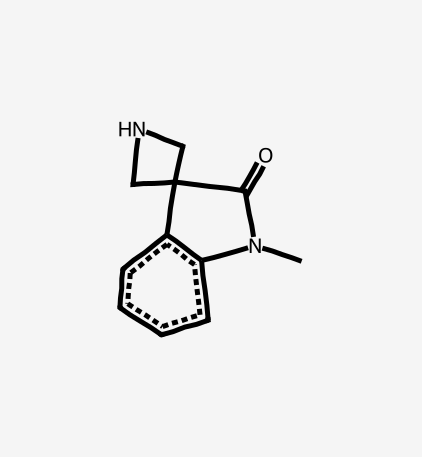 CN1C(=O)C2(CNC2)c2ccccc21